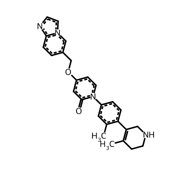 CC1=C(c2ccc(-n3ccc(OCc4ccc5nccn5c4)cc3=O)cc2C)CNCC1